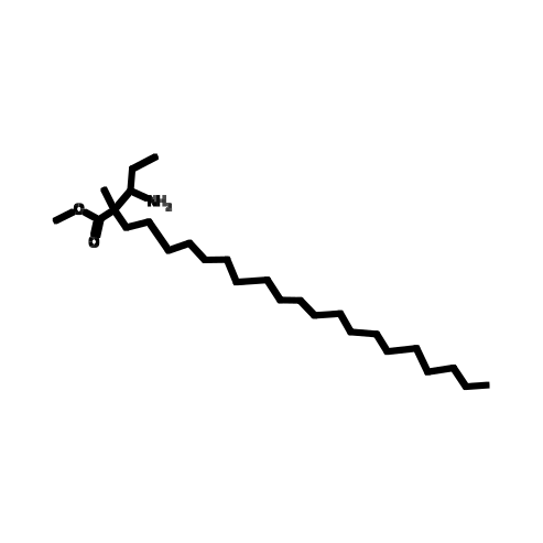 CCCCCCCCCCCCCCCCCCCCC(C)(C(=O)OC)C(N)CC